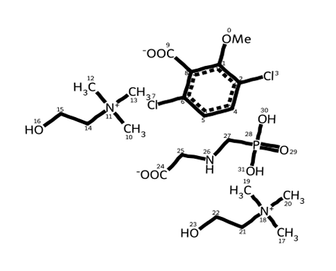 COc1c(Cl)ccc(Cl)c1C(=O)[O-].C[N+](C)(C)CCO.C[N+](C)(C)CCO.O=C([O-])CNCP(=O)(O)O